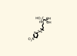 CC(C)(CCCNC(C(=O)O)P(O)O)SSc1ccc([N+](=O)[O-])cn1